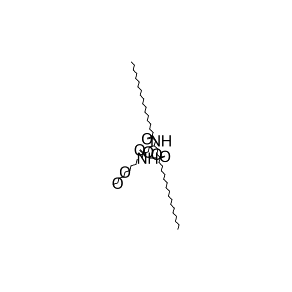 CCCCCCCCCCCCCCCCCCC(=O)NC(COC(=O)CCCCCCCCCCCCCCCCC)COC(=O)NCCCCOCCOC